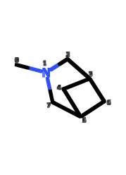 CN1CC2CC(C2)C1